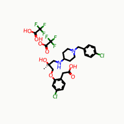 C[C@](O)(CNC1CCN(Cc2ccc(Cl)cc2)CC1)COc1cc(Cl)ccc1CC(=O)O.O=C(O)C(F)(F)F.O=C(O)C(F)(F)F